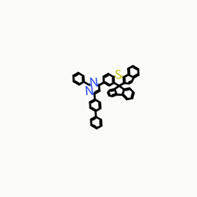 c1ccc(-c2ccc(-c3cc(-c4ccc5c(c4)C4(c6ccccc6-c6ccccc64)c4ccc6ccccc6c4S5)nc(-c4ccccc4)n3)cc2)cc1